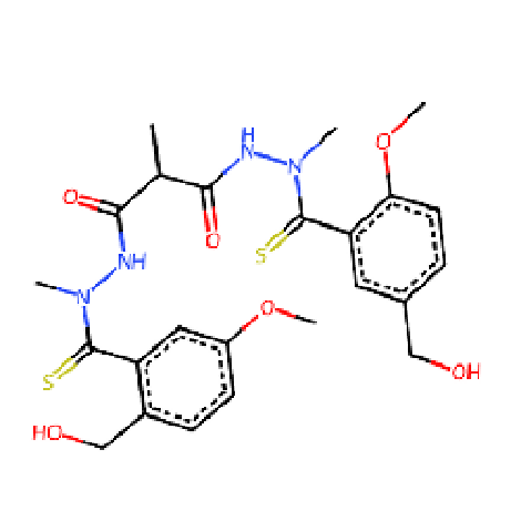 COc1ccc(CO)c(C(=S)N(C)NC(=O)C(C)C(=O)NN(C)C(=S)c2cc(CO)ccc2OC)c1